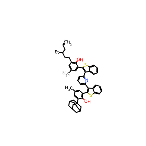 C=CCC(CC)CCc1cc(C)cc(-c2sc3ccccc3c2-c2cccc(-c3c(-c4cc(C)cc(C56CC7CC(CC(C7)C5)C6)c4O)sc4ccccc34)n2)c1O